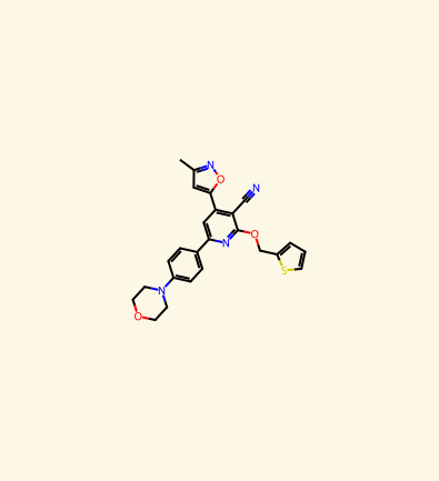 Cc1cc(-c2cc(-c3ccc(N4CCOCC4)cc3)nc(OCc3cccs3)c2C#N)on1